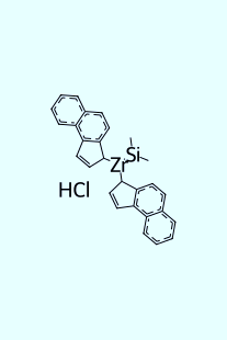 C[Si](C)=[Zr]([CH]1C=Cc2c1ccc1ccccc21)[CH]1C=Cc2c1ccc1ccccc21.Cl